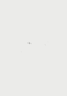 Br.Br.O=C(O)CCCCCCCCCCC(=O)O